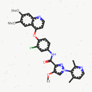 CCOc1cn(-c2c(C)ccnc2C)nc1C(=O)Nc1ccc(Oc2ccnc3cc(OC)c(OC)cc23)c(F)c1